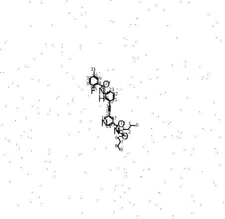 CCCCS(=O)(CCCC)=NC(=O)c1cncc(C#Cc2cccc(NC(=O)c3cc(C)ccc3F)c2)c1